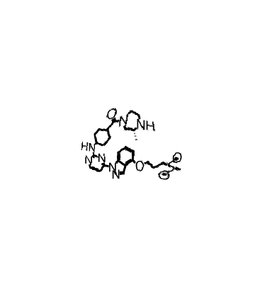 C[C@@H]1CN(C(=O)C2CCC(Nc3nccc(-n4ncc5c(OCCCS(C)(=O)=O)cccc54)n3)CC2)CCN1